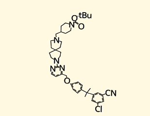 CC(C)(C)OC(=O)N1CCC(CN2CCC3(CC2)CCN(c2nccc(COc4ccc(C(C)(C)c5cc(Cl)cc(C#N)c5)cc4)n2)CC3)CC1